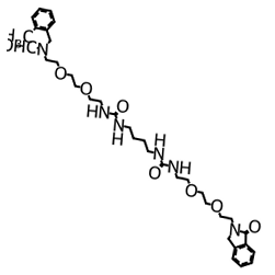 Cc1ccccc1CN(C=O)CCOCCOCCNC(=O)NCCCCNC(=O)NCCOCCOCCN1Cc2ccccc2C1=O